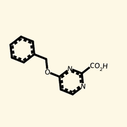 O=C(O)c1nccc(OCc2ccccc2)n1